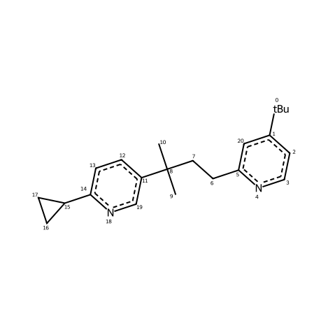 CC(C)(C)c1ccnc(CCC(C)(C)c2ccc(C3CC3)nc2)c1